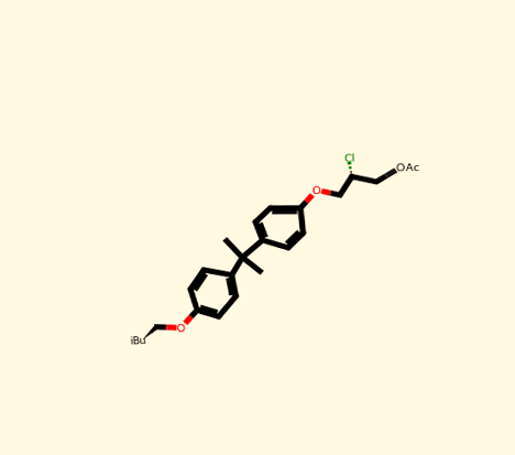 CC[C@H](C)COc1ccc(C(C)(C)c2ccc(OC[C@H](Cl)COC(C)=O)cc2)cc1